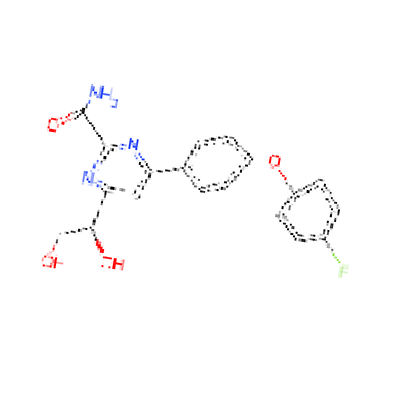 NC(=O)c1nc(-c2ccc(Oc3ccc(F)cc3)cc2)cc([C@@H](O)CO)n1